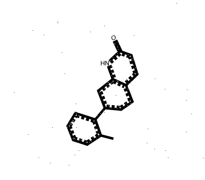 Cc1ccccc1-c1ccc2ccc(=O)[nH]c2c1